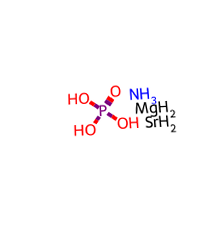 N.O=P(O)(O)O.[MgH2].[SrH2]